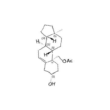 CC(=O)OC[C@]12CC[C@H](O)CC1=CC[C@H]1[C@@H]3CCC[C@@]3(C)CC[C@@H]12